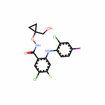 O=C(NOC1(CO)CC1)c1cc(Cl)c(F)cc1Nc1ccc(I)cc1Cl